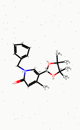 Cc1cc(=O)n(Cc2ccccc2)cc1B1OC(C)(C)C(C)(C)O1